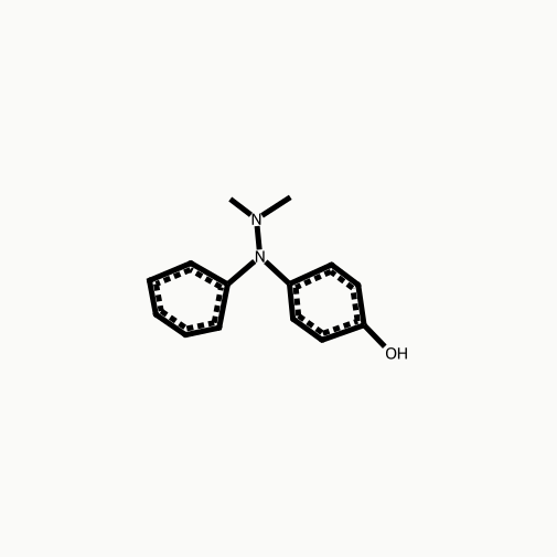 CN(C)N(c1ccccc1)c1ccc(O)cc1